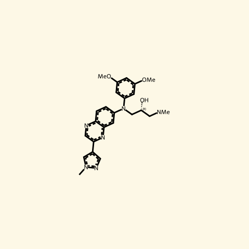 CNC[C@@H](O)CN(c1cc(OC)cc(OC)c1)c1ccc2ncc(-c3cnn(C)c3)nc2c1